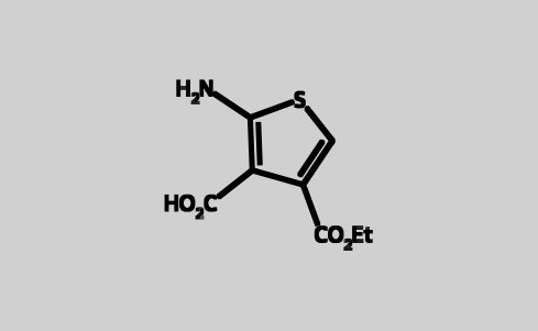 CCOC(=O)c1csc(N)c1C(=O)O